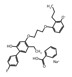 CCCc1c([O-])cccc1OCCCOc1cc(O)c(-c2ccc(F)cc2)cc1CC.O=C(O)c1ccccc1.[Na+]